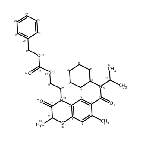 Cc1cc2c(cc1C(=O)N(C(C)C)C1CCCCC1)N(CCNC(=O)OCc1ccccc1)C(=O)C(C)S2